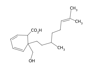 CC(C)=CCCC(C)CCC1(CO)C=CC=CC1C(=O)O